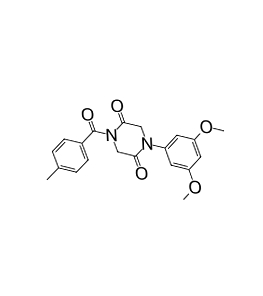 COc1cc(OC)cc(N2CC(=O)N(C(=O)c3ccc(C)cc3)CC2=O)c1